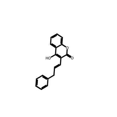 O=c1oc2ccccc2c(O)c1C=CCc1ccccc1